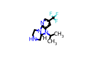 CC(C)N1c2cc(C(F)(F)F)cnc2N2CCNC[C@@H]21